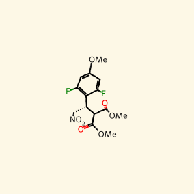 COC(=O)C(C(=O)OC)[C@H](C[N+](=O)[O-])c1c(F)cc(OC)cc1F